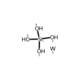 O[Si](O)(O)O.[W]